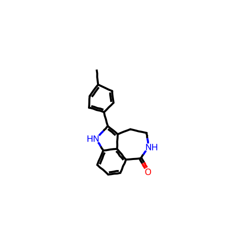 Cc1ccc(-c2[nH]c3cccc4c3c2CCNC4=O)cc1